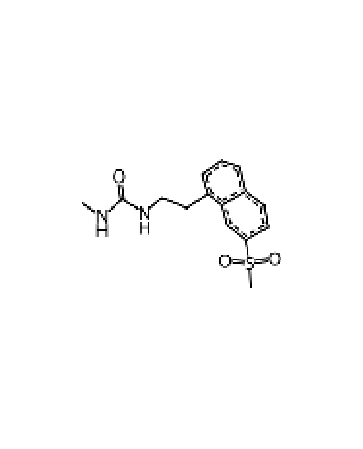 CNC(=O)NCCc1cccc2ccc(S(C)(=O)=O)cc12